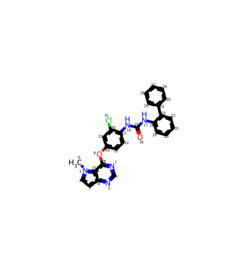 Cn1ccc2ncnc(Oc3ccc(NC(=O)Nc4ccccc4-c4ccccc4)c(Cl)c3)c21